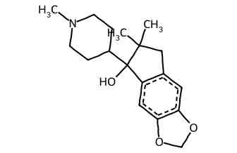 CN1CCC(C2(O)c3cc4c(cc3CC2(C)C)OCO4)CC1